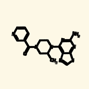 CC1CN(C(=O)c2cccnc2)CCN1c1nc(N)nc2scnc12